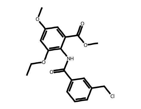 CCOc1cc(OC)cc(C(=O)OC)c1NC(=O)c1cccc(CCl)c1